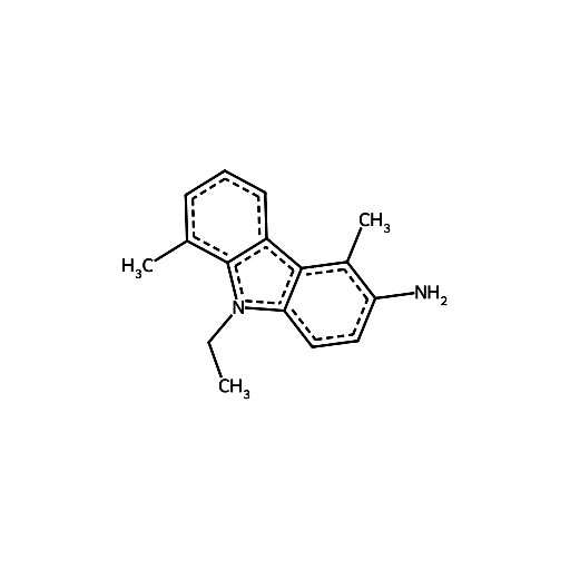 CCn1c2ccc(N)c(C)c2c2cccc(C)c21